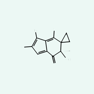 CCC1=C(C)C=C2C(=O)[C@](C)(O)C3(CC3)C(C)=C21